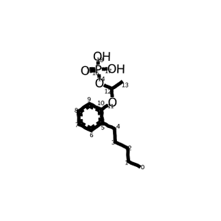 CCCCCc1ccccc1OC(C)OP(=O)(O)O